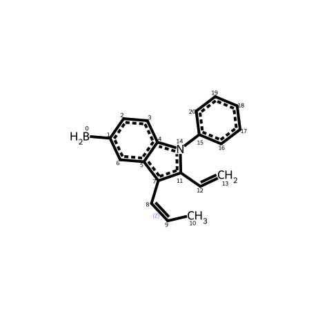 Bc1ccc2c(c1)c(/C=C\C)c(C=C)n2-c1ccccc1